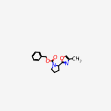 Cc1coc(C2CCCN2C(=O)OCc2ccccc2)n1